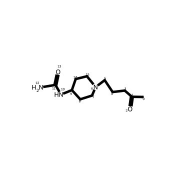 CC(=O)CCCN1CCC(NC(N)=O)CC1